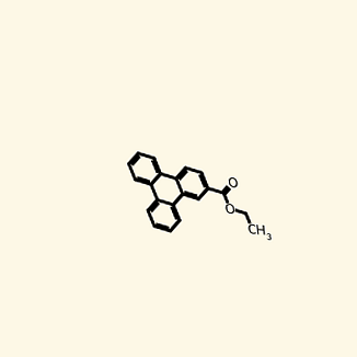 CCOC(=O)c1ccc2c3ccccc3c3ccccc3c2c1